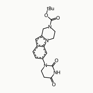 CC(C)(C)OC(=O)N1CCn2c(cc3ccc(N4CCC(=O)NC4=O)cc32)C1